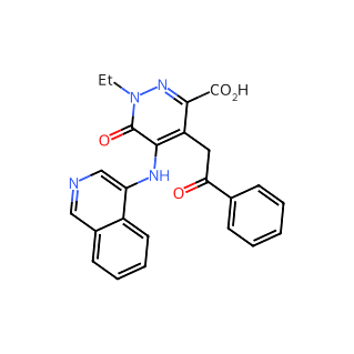 CCn1nc(C(=O)O)c(CC(=O)c2ccccc2)c(Nc2cncc3ccccc23)c1=O